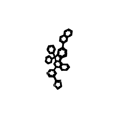 c1ccc(C2(c3ccccc3)c3cc(-c4ccc5ccccc5c4)ccc3-c3c2cc(-c2cncc(C4=NCCO4)c2)c2ccccc32)cc1